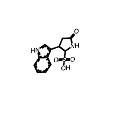 O=C1CC(c2c[nH]c3ccccc23)C(S(=O)(=O)O)N1